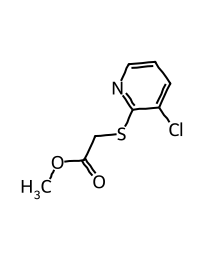 COC(=O)CSc1ncccc1Cl